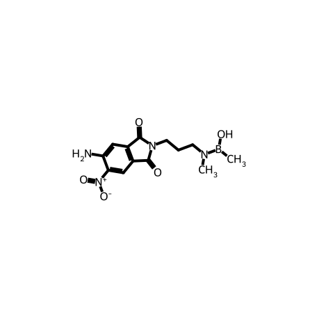 CB(O)N(C)CCCN1C(=O)c2cc(N)c([N+](=O)[O-])cc2C1=O